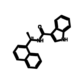 C[C@@H](NC(=O)c1c[nH]c2ccccc12)c1cccc2ccccc12